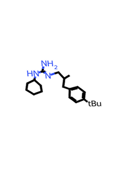 CC(CN=C(N)NC1CCCCC1)Cc1ccc(C(C)(C)C)cc1